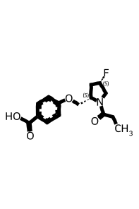 CCC(=O)N1C[C@@H](F)C[C@H]1COc1ccc(C(=O)O)cc1